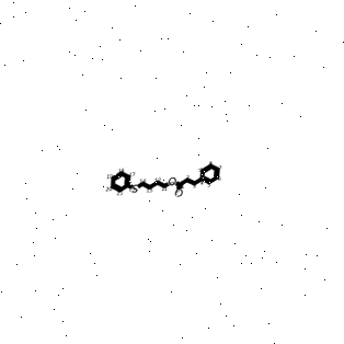 O=C(CCc1ccccc1)OCCCCSc1ccccc1